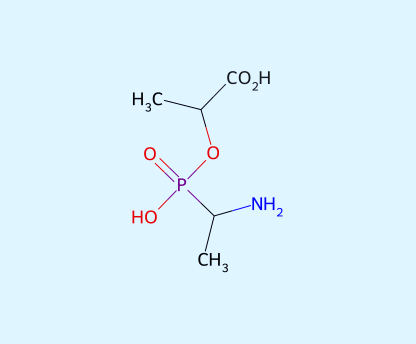 CC(OP(=O)(O)C(C)N)C(=O)O